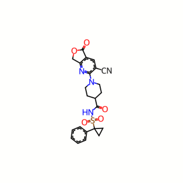 N#Cc1cc2c(nc1N1CCC(C(=O)NS(=O)(=O)C3(c4ccccc4)CC3)CC1)COC2=O